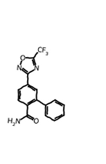 NC(=O)c1ccc(-c2noc(C(F)(F)F)n2)cc1-c1ccccc1